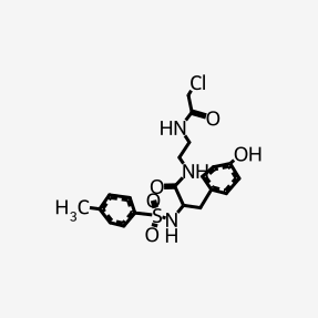 Cc1ccc(S(=O)(=O)NC(Cc2ccc(O)cc2)C(=O)NCCNC(=O)CCl)cc1